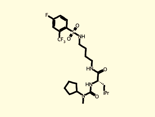 CC(C)C[C@H](NC(=O)N(C)C1CCCC1)C(=O)NCCCCNS(=O)(=O)c1ccc(F)cc1C(F)(F)F